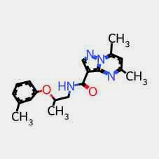 Cc1cccc(OC(C)CNC(=O)c2cnn3c(C)cc(C)nc23)c1